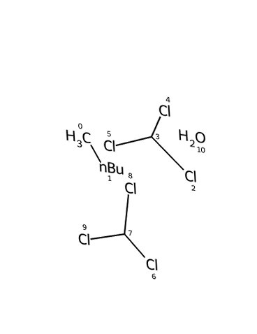 CCCCC.ClC(Cl)Cl.ClC(Cl)Cl.O